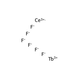 [Ce+3].[F-].[F-].[F-].[F-].[F-].[F-].[Tb+3]